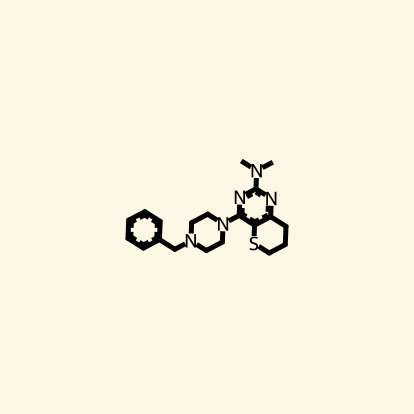 CN(C)c1nc2c(c(N3CCN(Cc4ccccc4)CC3)n1)SCCC2